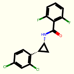 O=C(N[C@@H]1C[C@@H]1c1ccc(Cl)cc1Cl)c1c(F)cccc1F